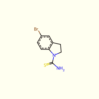 NC(=S)N1CCc2cc(Br)ccc21